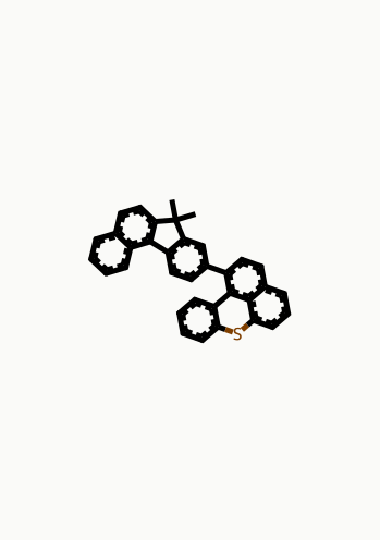 CC1(C)c2cc(-c3ccc4cccc5c4c3-c3ccccc3S5)ccc2-c2c1ccc1ccccc21